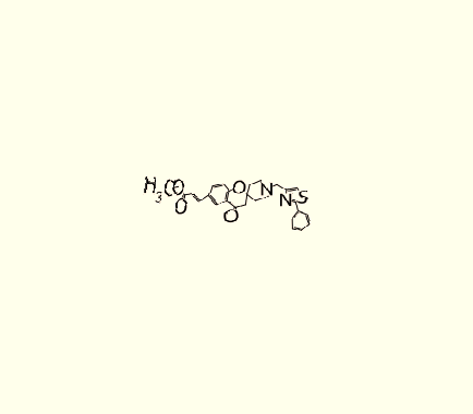 COC(=O)/C=C/c1ccc2c(c1)C(=O)CC1(CCN(Cc3csc(-c4ccccc4)n3)CC1)O2